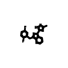 Cc1n[nH]c(-c2nn(Cc3cc(F)ccc3F)c3ncccc23)n1